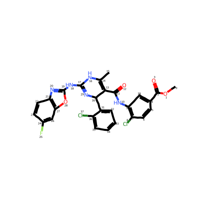 COC(=O)c1ccc(Cl)c(NC(=O)C2=C(C)NC(Nc3nc4ccc(F)cc4o3)=NC2c2ccccc2Cl)c1